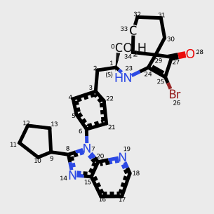 O=C(O)[C@H](Cc1ccc(-n2c(C3CCCC3)nc3cccnc32)cc1)NC1=C(Br)C(=O)C12CCCCC2